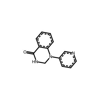 O=C1NCN(c2cccnc2)c2ccccc21